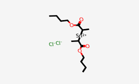 CCCCOC(=O)[CH](C)[Sn+2][CH](C)C(=O)OCCCC.[Cl-].[Cl-]